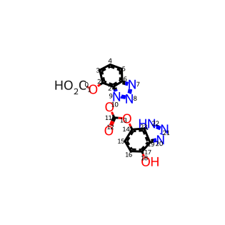 O=C(O)Oc1cccc2nnn(OC(=O)Oc3ccc(O)c4nn[nH]c34)c12